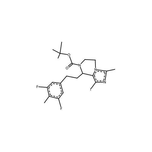 Cc1c(F)cc(CCC2c3c(I)nc(C)n3CCN2C(=O)OC(C)(C)C)cc1F